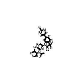 C=C(C)N(c1cncc(N2C(=O)C(C)(C)c3ccc(-c4cnc(C)nc4)cc32)n1)C(CC)C(C)C